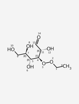 CCOO[C@@H]([C@H](O)[C@H](O)CO)[C@@H](O)C=O